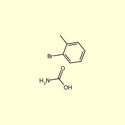 Cc1ccccc1Br.NC(=O)O